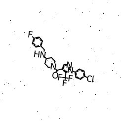 O=C(c1cnn(-c2ccc(Cl)cc2)c1C(F)(F)F)N1CCC(NCc2ccc(F)cc2)CC1